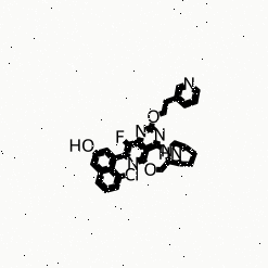 Oc1cc(-c2nc3c4c(nc(OCCc5cccnc5)nc4c2F)N2CC4CCC(N4)C2CO3)c2c(Cl)cccc2c1